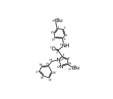 CC(C)(C)c1ccc(NC(=O)c2cc(C(C)(C)C)nn2Cc2ccccc2)cc1